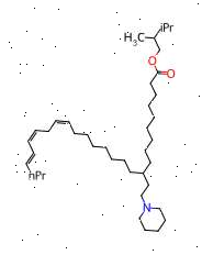 CCC/C=C/C=C\C/C=C\CCCCCCCC(CCCCCCCCC(=O)OCC(C)C(C)C)CCN1CCCCC1